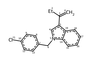 C=C(CC)c1cn(Cc2ccc(Cl)cc2)c2ccccc12